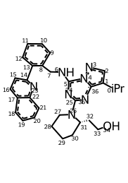 CC(C)c1cnn2c(NCc3ccccc3-c3ccc4ccccc4n3)nc(N3CCCC[C@H]3CCO)nc12